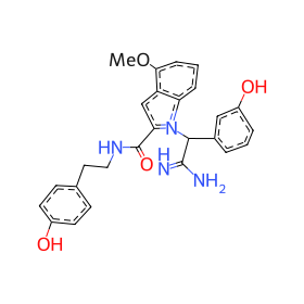 COc1cccc2c1cc(C(=O)NCCc1ccc(O)cc1)n2C(C(=N)N)c1cccc(O)c1